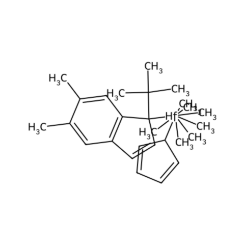 Cc1cc2c(cc1C)[C](C(C)(C)C)([Hf]([CH3])([CH3])([CH3])([CH3])([CH3])([CH3])([CH3])[CH]1C=CC=C1)C=C2